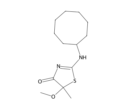 COC1(C)SC(NC2CCCCCCC2)=NC1=O